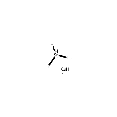 [CsH].[I][SnH]([I])[I]